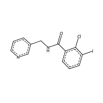 O=C(NCc1cccnc1)c1cccc(I)c1Cl